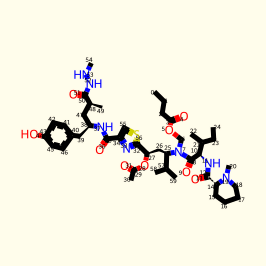 CCCC(=O)OCN(C(=O)[C@@H](NC(=O)[C@H]1CCCCN1C)C(C)CC)[C@H](C[C@@H](OC(C)=O)c1nc(C(=O)N[C@@H](Cc2ccc(O)cc2)C[C@H](C)C(=O)NNC)cs1)C(C)C